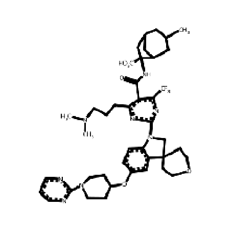 CC1CC2CC(C1)C(NC(=O)c1c(CCCN(C)C)nc(N3CC4(CCOCC4)c4cc(OC5CCN(c6ncccn6)CC5)ccc43)nc1C(F)(F)F)(C(=O)O)C2